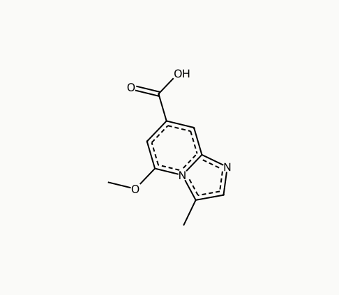 COc1cc(C(=O)O)cc2ncc(C)n12